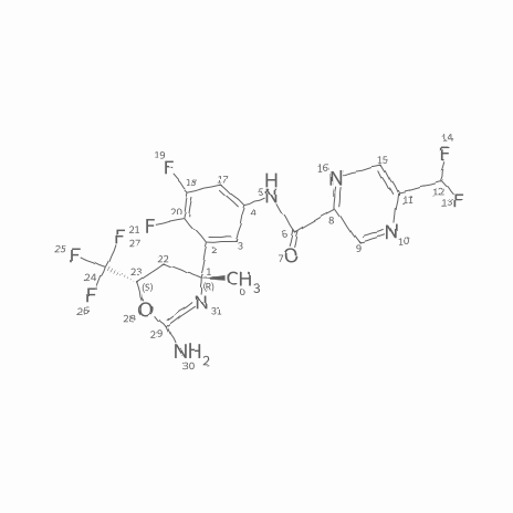 C[C@]1(c2cc(NC(=O)c3cnc(C(F)F)cn3)cc(F)c2F)C[C@@H](C(F)(F)F)OC(N)=N1